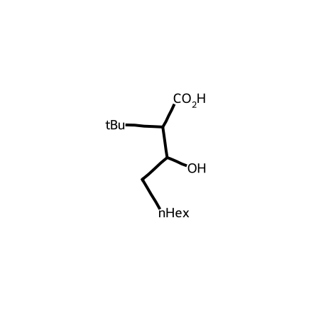 CCCCCCCC(O)C(C(=O)O)C(C)(C)C